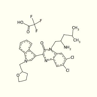 CC(C)CC(N)Cn1c(=O)c(-c2cn(CC3CCCO3)c3ccccc23)nc2cc(Cl)c(Cl)cc21.O=C(O)C(F)(F)F